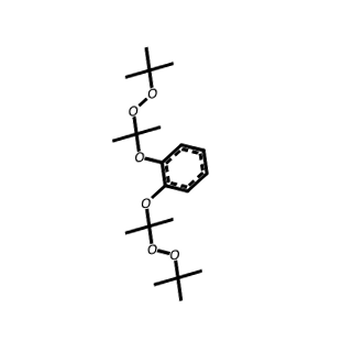 CC(C)(C)OOC(C)(C)Oc1ccccc1OC(C)(C)OOC(C)(C)C